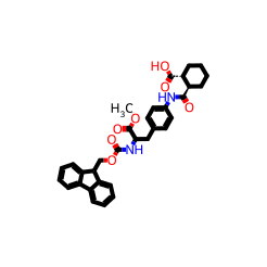 COC(=O)C(Cc1ccc(NC(=O)[C@@H]2CCCC[C@H]2C(=O)O)cc1)NC(=O)OCC1c2ccccc2-c2ccccc21